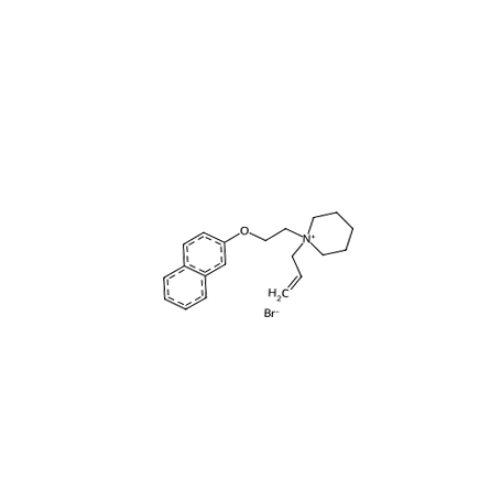 C=CC[N+]1(CCOc2ccc3ccccc3c2)CCCCC1.[Br-]